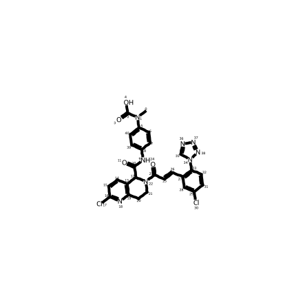 CN(C(=O)O)c1ccc(NC(=O)C2c3ccc(Cl)nc3CCN2C(=O)/C=C/c2cc(Cl)ccc2-n2cnnn2)cc1